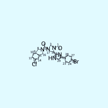 O=CN1CN(C(=O)N2Cc3ccc(Cl)cc3C2)CC1c1nc(-c2ccc(Br)cc2)c[nH]1